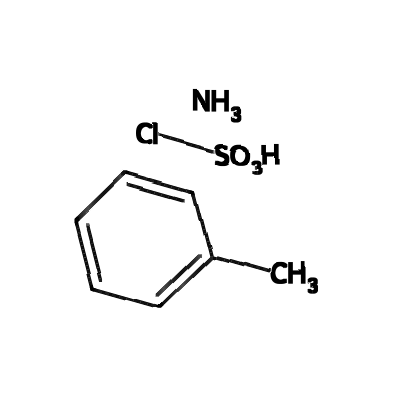 Cc1ccccc1.N.O=S(=O)(O)Cl